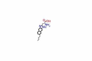 CCCCc1ccc2cc3nc(C[C@@H](N)C(=O)O)[nH]c3cc2c1